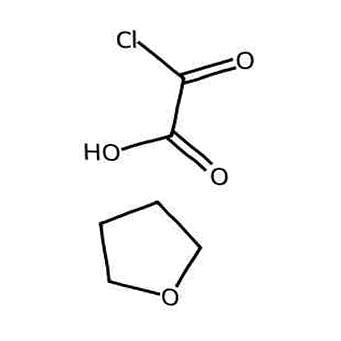 C1CCOC1.O=C(O)C(=O)Cl